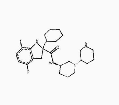 Cc1ccc(F)c2c1NC(C(=O)N[C@@H]1CCC[C@@H](C3CCCNC3)C1)(C1CCCCC1)C2